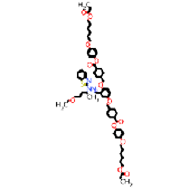 C=COCCCC(C)N(/N=C/c1cc(OCC2CCC(C(=O)Oc3ccc(OCCCCCCOC(=O)C=C)cc3)CC2)ccc1OCC1CCC(C(=O)Oc2ccc(OCCCCCCOC(=O)C=C)cc2)CC1)c1nc2ccccc2s1